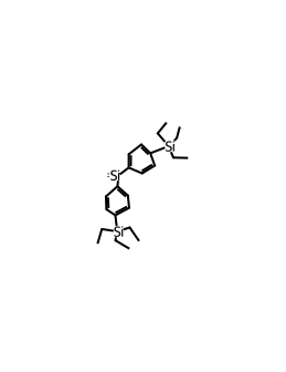 CC[Si](CC)(CC)c1ccc([Si]c2ccc([Si](CC)(CC)CC)cc2)cc1